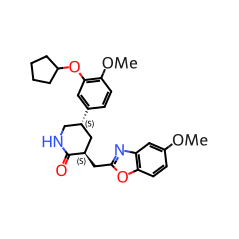 COc1ccc2oc(C[C@@H]3C[C@@H](c4ccc(OC)c(OC5CCCC5)c4)CNC3=O)nc2c1